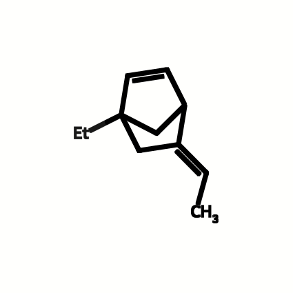 CC=C1CC2(CC)C=CC1C2